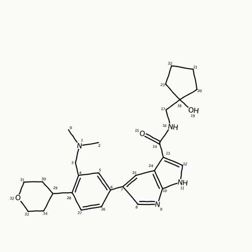 CN(C)Cc1cc(-c2cnc3[nH]cc(C(=O)NCC4(O)CCCC4)c3c2)ccc1C1CCOCC1